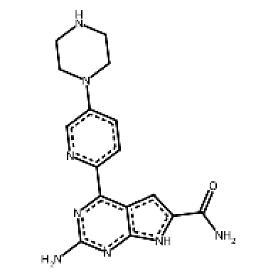 NC(=O)c1cc2c(-c3ccc(N4CCNCC4)cn3)nc(N)nc2[nH]1